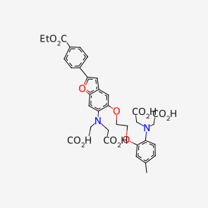 CCOC(=O)c1ccc(-c2cc3cc(OCCOc4cc(C)ccc4N(CC(=O)O)CC(=O)O)c(N(CC(=O)O)CC(=O)O)cc3o2)cc1